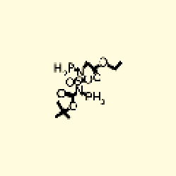 CCOC(=O)CN(P)S(=O)(=O)N(P)C(=O)OC(C)(C)C